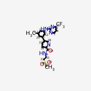 Cc1cc(Nc2nccc(C(F)(F)F)n2)cc(-c2ccc(C(=O)NCCS(C)(=O)=O)nc2)c1